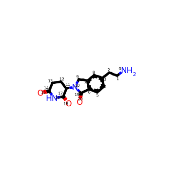 NCCc1ccc2c(c1)CN(C1CCC(=O)NC1=O)C2=O